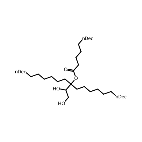 CCCCCCCCCCCCCCCCC(CCCCCCCCCCCCCCCC)(OC(=O)CCCCCCCCCCCCCC)C(O)CO